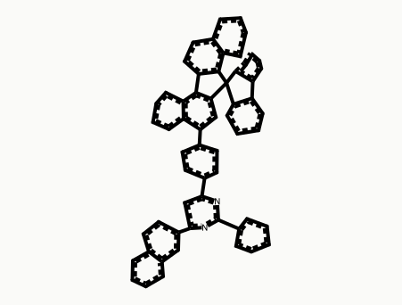 c1ccc(-c2nc(-c3ccc(-c4cc5c(c6ccccc46)-c4ccc6ccccc6c4C54c5ccccc5-c5ccccc54)cc3)cc(-c3ccc4ccccc4c3)n2)cc1